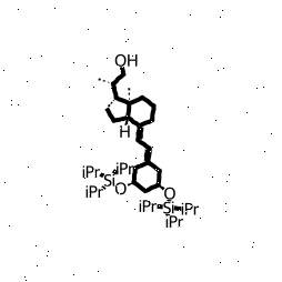 CC(C)[Si](O[C@@H]1CC(=CC=C2CCC[C@]3(C)[C@@H]([C@H](C)CO)CC[C@@H]23)C[C@@H](O[Si](C(C)C)(C(C)C)C(C)C)C1)(C(C)C)C(C)C